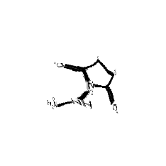 NNN1C(=O)CCC1=O